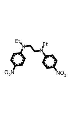 CCN(CCN(CC)c1ccc([N+](=O)[O-])cc1)c1ccc([N+](=O)[O-])cc1